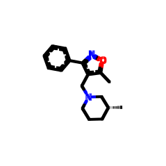 Cc1onc(-c2ccccc2)c1CN1CCC[C@@H](C)C1